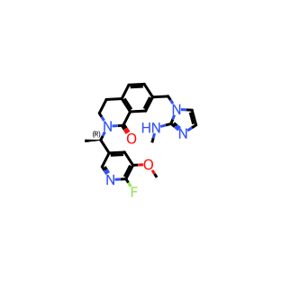 CNc1nccn1Cc1ccc2c(c1)C(=O)N([C@H](C)c1cnc(F)c(OC)c1)CC2